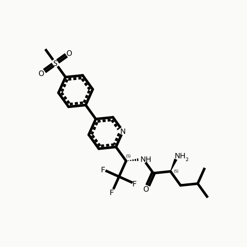 CC(C)C[C@H](N)C(=O)N[C@@H](c1ccc(-c2ccc(S(C)(=O)=O)cc2)cn1)C(F)(F)F